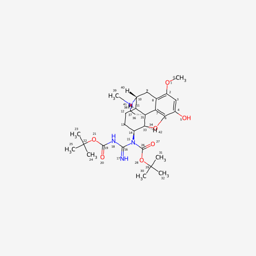 COc1cc(O)c2c3c1C[C@@H]1[C@@H]4CC[C@H](N(C(=N)NC(=O)OC(C)(C)C)C(=O)OC(C)(C)C)[C@H](O2)[C@]34CCN1C